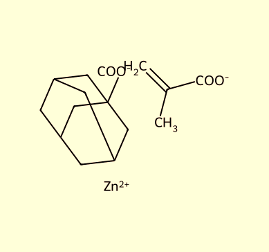 C=C(C)C(=O)[O-].O=C([O-])C12CC3CC(CC(C3)C1)C2.[Zn+2]